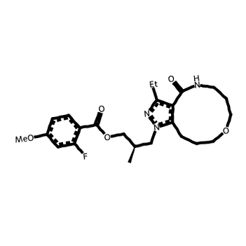 CCc1nn(C[C@@H](C)COC(=O)c2ccc(OC)cc2F)c2c1C(=O)NCCCOCCC2